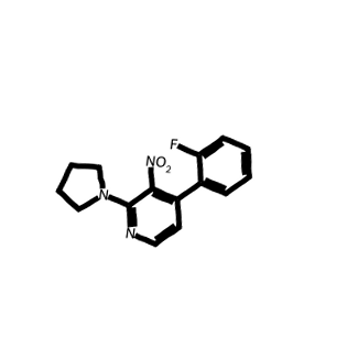 O=[N+]([O-])c1c(-c2ccccc2F)ccnc1N1CCCC1